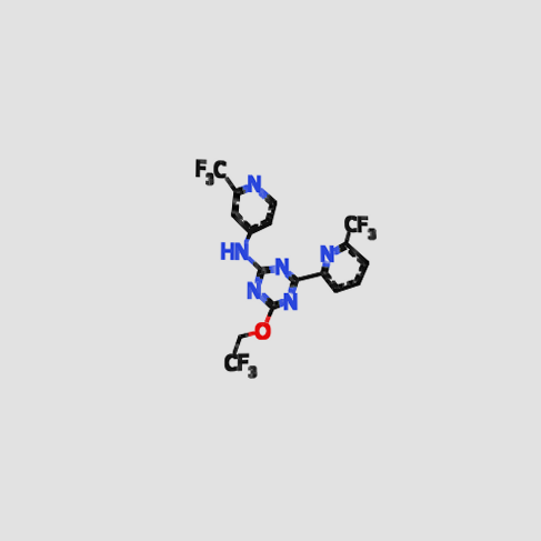 FC(F)(F)COc1nc(Nc2ccnc(C(F)(F)F)c2)nc(-c2cccc(C(F)(F)F)n2)n1